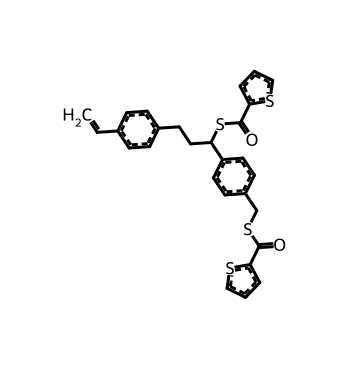 C=Cc1ccc(CCC(SC(=O)c2cccs2)c2ccc(CSC(=O)c3cccs3)cc2)cc1